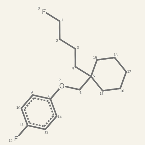 FCCCCC1(COc2ccc(F)cc2)CCCCC1